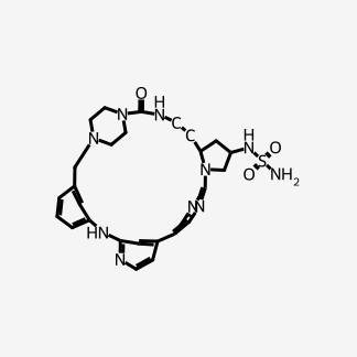 NS(=O)(=O)NC1CC2CCNC(=O)N3CCN(CC3)Cc3cccc(c3)Nc3cc(ccn3)-c3cnc(nc3)N2C1